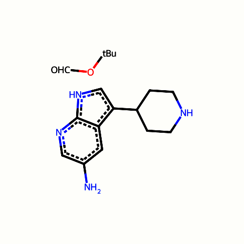 CC(C)(C)OC=O.Nc1cnc2[nH]cc(C3CCNCC3)c2c1